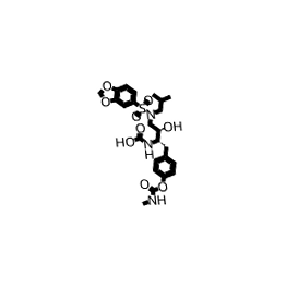 CNC(=O)Oc1ccc(C[C@H](NC(=O)O)[C@@H](O)CN(CC(C)C)S(=O)(=O)c2ccc3c(c2)OCO3)cc1